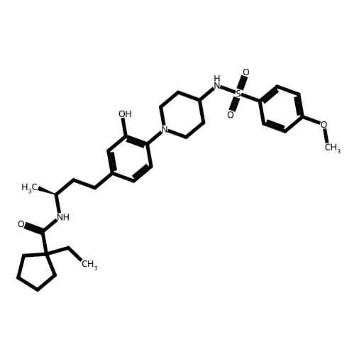 CCC1(C(=O)N[C@@H](C)CCc2ccc(N3CCC(NS(=O)(=O)c4ccc(OC)cc4)CC3)c(O)c2)CCCC1